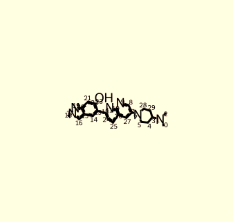 CN(C)C1CCN(c2cnc3nc(-c4cc5cn(C)nc5cc4O)ccc3c2)CC1